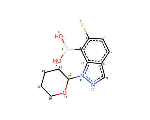 OB(O)c1c(F)ccc2cnn(C3CCCCO3)c12